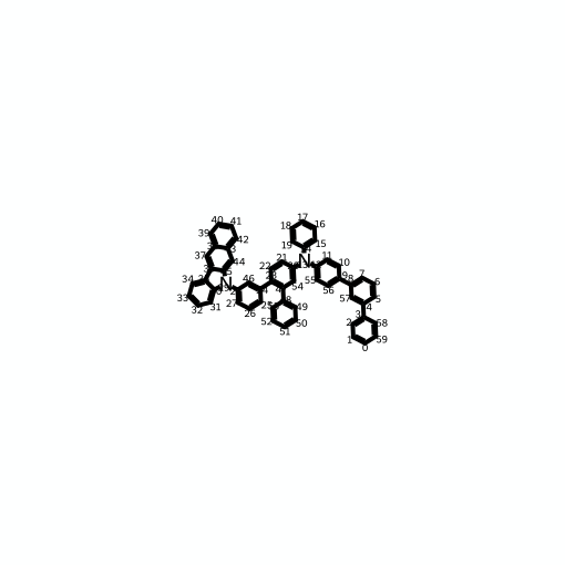 c1ccc(-c2cccc(-c3ccc(N(c4ccccc4)c4ccc(-c5cccc(-n6c7ccccc7c7cc8ccccc8cc76)c5)c(-c5ccccc5)c4)cc3)c2)cc1